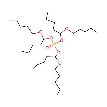 CCCCCOC(CCCC)OP(=O)(OC(CCCC)OCCCCC)OC(CCCC)OCCCCC